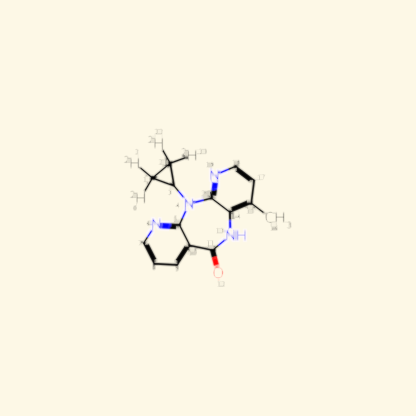 [2H]C1([2H])C(N2c3ncccc3C(=O)Nc3c(C)ccnc32)C1([2H])[2H]